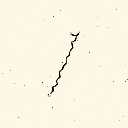 [O]CCCCCCCCCCCCCCCC(F)F